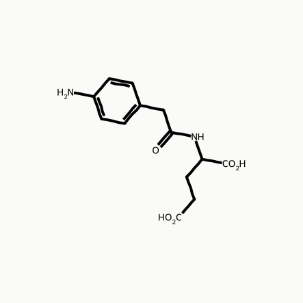 Nc1ccc(CC(=O)NC(CCC(=O)O)C(=O)O)cc1